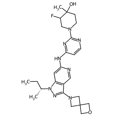 CC[C@@H](C)n1nc(N2CC3(COC3)C2)c2cnc(Nc3ccnc(N4CCC(C)(O)C(F)C4)n3)cc21